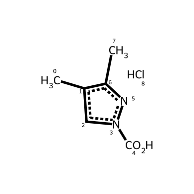 Cc1cn(C(=O)O)nc1C.Cl